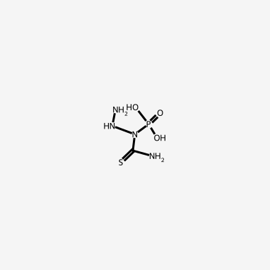 NNN(C(N)=S)P(=O)(O)O